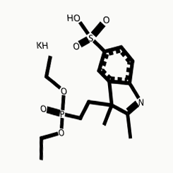 CCOP(=O)(CCC1(C)C(C)=Nc2ccc(S(=O)(=O)O)cc21)OCC.[KH]